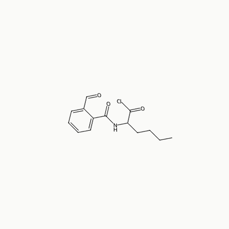 CCCCC(NC(=O)c1ccccc1C=O)C(=O)Cl